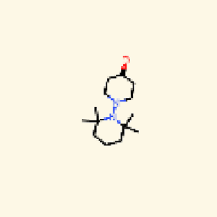 CC1(C)CCCC(C)(C)N1N1CCC(=O)CC1